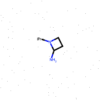 CC(C)N1CCC1N